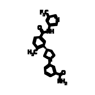 Cc1ccc(C(=O)Nc2cncc(C(F)(F)F)c2)cc1[C@@H]1CCN(c2cccc(C(N)=O)c2)C1